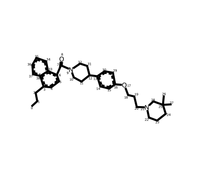 CCCc1ccc(C(=O)N2CCC(c3ccc(OCCCN4CCCC(C)(C)C4)cc3)CC2)c2ccccc12